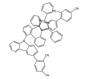 N#Cc1ccc(-c2ccc3c(c2)c2ccccc2n3-c2ccccc2-c2c(-c3cc(-c4ccccc4)nc(-c4ccccc4)n3)cccc2-n2c3ccccc3c3cc(-c4ccc(C#N)cc4C#N)ccc32)c(C#N)c1